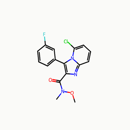 CON(C)C(=O)c1nc2cccc(Cl)n2c1-c1cccc(F)c1